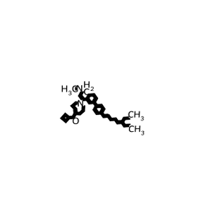 C=C1CC=C(c2ccc(/C=C/CCC=C(CCC)CCC)cc2)C=C1/C(=C\C=N/C)N1CC/C=C(\C(=O)C2CCC2)CCC1